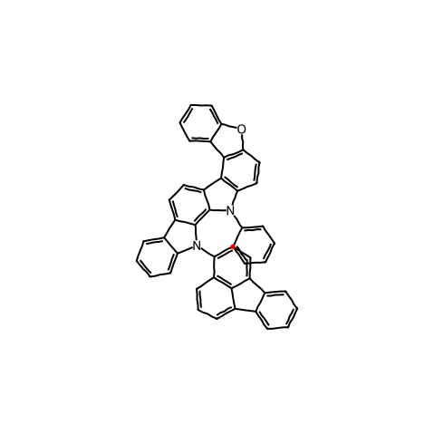 c1ccc(-n2c3ccc4oc5ccccc5c4c3c3ccc4c5ccccc5n(-c5ccc6c7c(cccc57)-c5ccccc5-6)c4c32)cc1